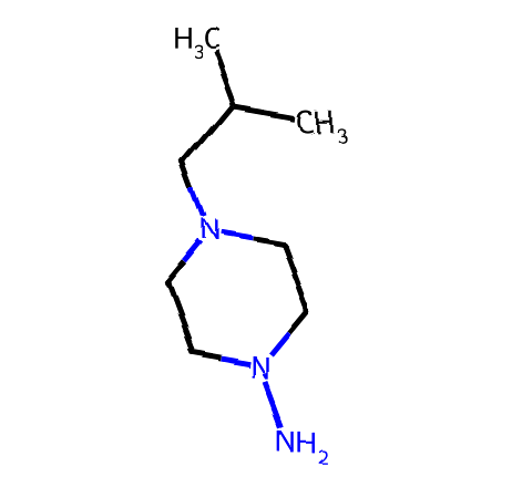 C[C](C)CN1CCN(N)CC1